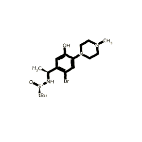 C[C@H](N[S@+]([O-])C(C)(C)C)c1cc(O)c(N2CCN(C)CC2)cc1Br